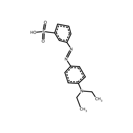 CCN(CC)c1ccc(/N=N/c2cccc(S(=O)(=O)O)c2)cc1